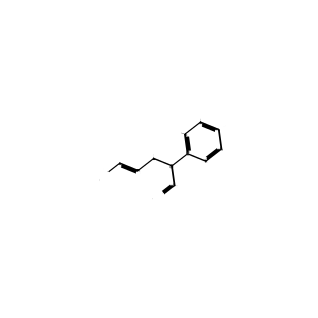 C/C=C/CC([C]=O)c1ccccc1